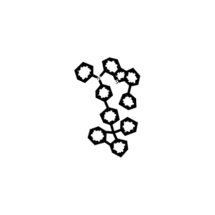 c1ccc(-c2cccc3c2sc2c(N(c4ccccc4)c4ccc(-c5ccc(C6(c7ccccc7)c7ccccc7-c7ccccc76)cc5)cc4)cccc23)cc1